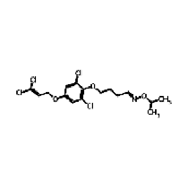 CC(C)ON=CCCCOc1c(Cl)cc(OCC=C(Cl)Cl)cc1Cl